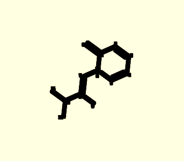 C=C1C=CC=CN1/C=C(\C)C(C)C